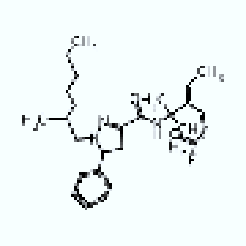 C=C(F)/C=C\C(=C/C)C(C)(C)NC(=O)C1=NN(CC(C)CCCCC)C(c2cc#ccc2)C1